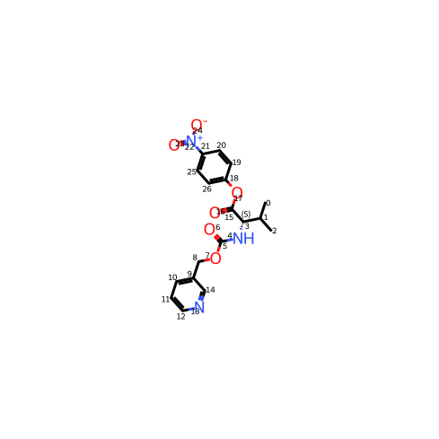 CC(C)[C@H](NC(=O)OCc1cccnc1)C(=O)Oc1ccc([N+](=O)[O-])cc1